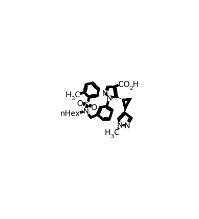 CCCCCCN(Cc1cccc(-n2ncc(C(=O)O)c2[C@@H]2C[C@H]2c2cnn(C)c2)c1)S(=O)(=O)c1ccccc1C